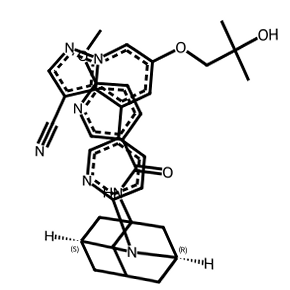 COc1ccc(C(=O)NC23CC4C[C@H](C2)N(c2ccc(-c5cc(OCC(C)(C)O)cn6ncc(C#N)c56)cn2)[C@@H](C4)C3)cn1